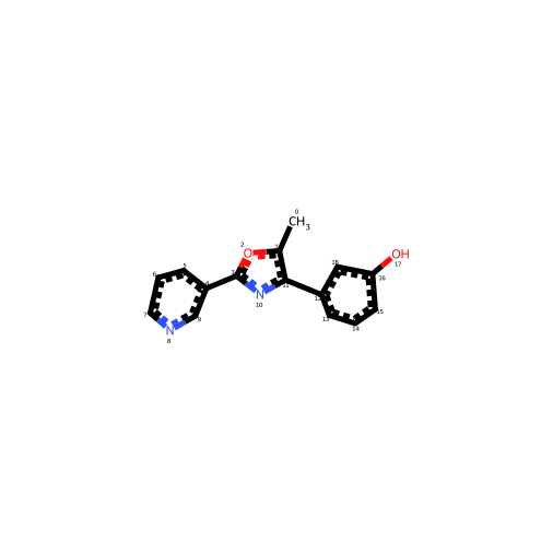 Cc1oc(-c2cccnc2)nc1-c1cccc(O)c1